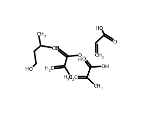 C=C(C)C(=O)O.C=C(C)C(=O)O.C=CC(=O)O.CC(O)CCO